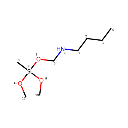 CCCCNCO[Si](C)(OC)OC